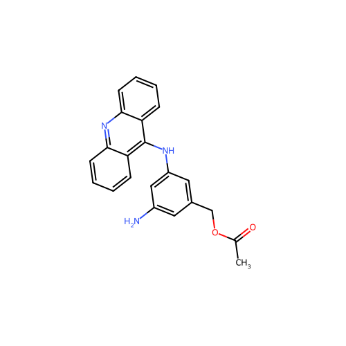 CC(=O)OCc1cc(N)cc(Nc2c3ccccc3nc3ccccc23)c1